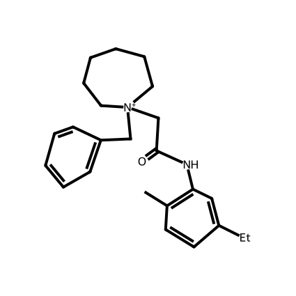 CCc1ccc(C)c(NC(=O)C[N+]2(Cc3ccccc3)CCCCCC2)c1